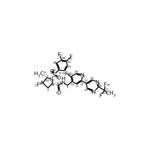 C[C@H]1[C@H](F)C[C@@H](C(=O)NCc2cc(-c3cnc(C(C)(F)F)nc3)ncc2F)N1S(=O)(=O)c1ccc(F)c(F)c1